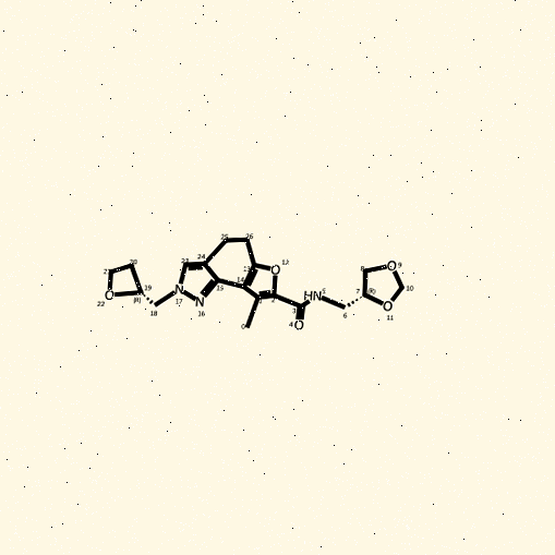 Cc1c(C(=O)NC[C@@H]2COCO2)oc2c1-c1nn(C[C@H]3CCO3)cc1CC2